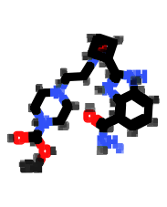 CC(C)(C)OC(=O)N1CCN(CCN2CC3CC2(c2nc4c(C(N)=O)cccc4[nH]2)C3)CC1